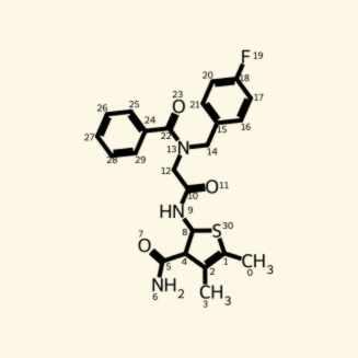 CC1=C(C)C(C(N)=O)C(NC(=O)CN(Cc2ccc(F)cc2)C(=O)c2ccccc2)S1